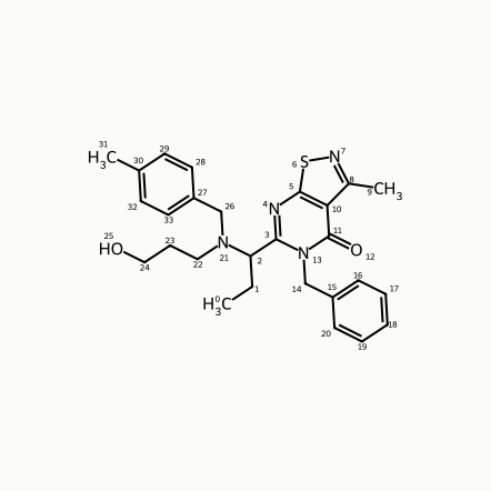 CCC(c1nc2snc(C)c2c(=O)n1Cc1ccccc1)N(CCCO)Cc1ccc(C)cc1